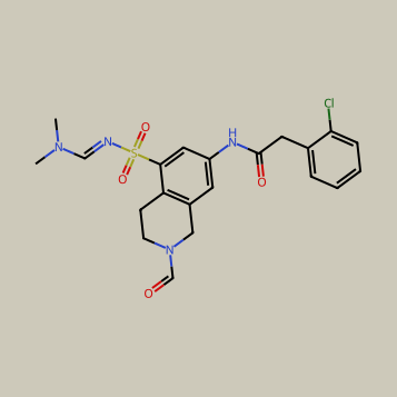 CN(C)C=NS(=O)(=O)c1cc(NC(=O)Cc2ccccc2Cl)cc2c1CCN(C=O)C2